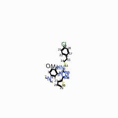 COc1ccc(N(C)C)cc1-n1c(NSCCc2ccc(Cl)cc2)nnc1-c1cccs1